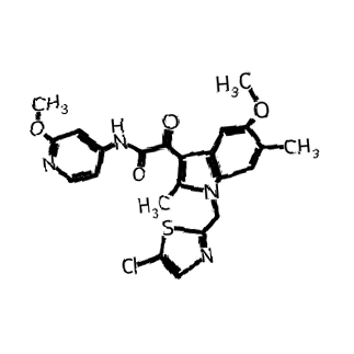 COc1cc(NC(=O)C(=O)c2c(C)n(Cc3ncc(Cl)s3)c3cc(C)c(OC)cc23)ccn1